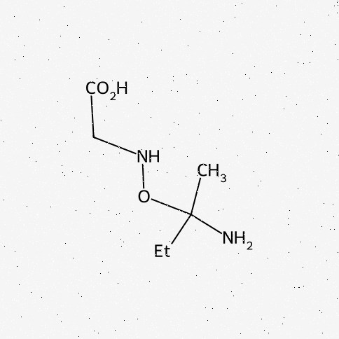 CCC(C)(N)ONCC(=O)O